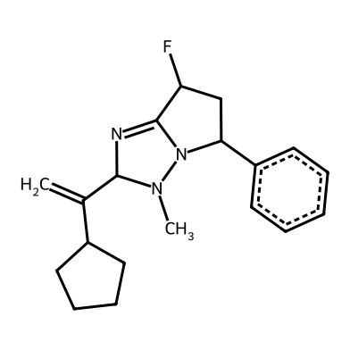 C=C(C1CCCC1)C1N=C2C(F)CC(c3ccccc3)N2N1C